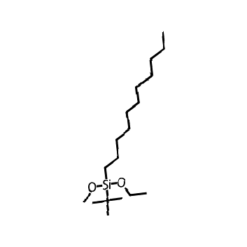 CCCCCCCCCCC[Si](OC)(OCC)C(C)(C)C